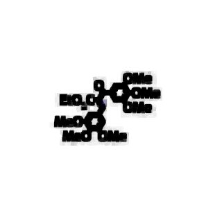 CCOC(=O)/C(=C\c1cc(OC)c(OC)c(OC)c1)C(=O)c1cc(OC)c(OC)c(OC)c1